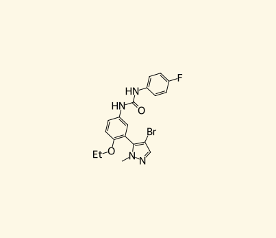 CCOc1ccc(NC(=O)Nc2ccc(F)cc2)cc1-c1c(Br)cnn1C